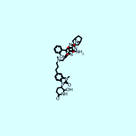 CN(CC#Cc1cnc(N2C3CCC2CN(c2cc(-c4ccccc4O)nnc2N)C3)nc1)CCCc1ccc2c(c1)n(C)c(=O)n2C1CCC(=O)NC1O